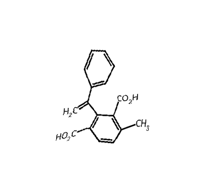 C=C(c1ccccc1)c1c(C(=O)O)ccc(C)c1C(=O)O